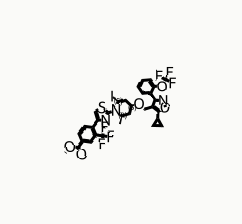 COC(=O)c1ccc(-c2csc(N3[C@H](C)C[C@H](OCc4c(-c5ccccc5OC(F)(F)F)noc4C4CC4)C[C@@H]3I)n2)c(C(F)(F)F)c1